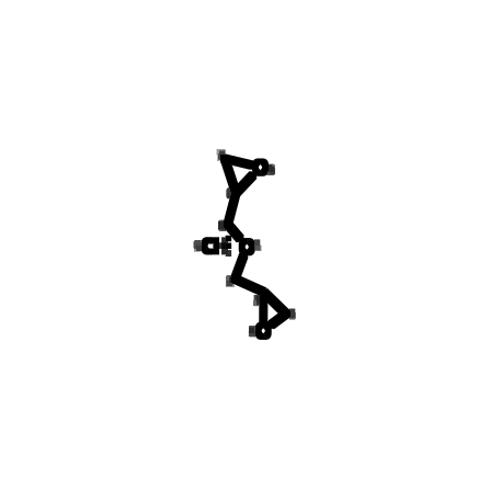 C(OCC1CO1)C1CO1.[CH]